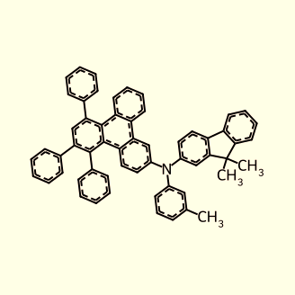 Cc1cccc(N(c2ccc3c(c2)C(C)(C)c2ccccc2-3)c2ccc3c(c2)c2ccccc2c2c(-c4ccccc4)cc(-c4ccccc4)c(-c4ccccc4)c32)c1